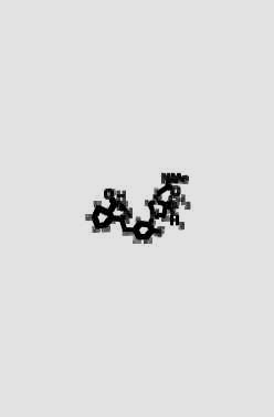 CNC(=O)CN1CN(c2cc(Cc3n[nH]c(=O)c4ccccc34)ccc2F)CC1(C)C